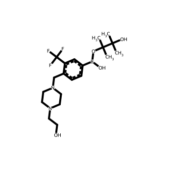 CC(C)(O)C(C)(C)OB(O)c1ccc(CN2CCN(CCO)CC2)c(C(F)(F)F)c1